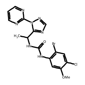 COc1cc(NC(=O)NC(C)c2ncnn2-c2ncccn2)c(Br)cc1Cl